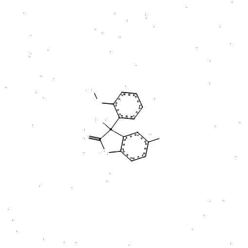 CCCOc1ccccc1C1(O)C(=O)Nc2ccc(Cl)cc21